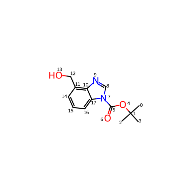 CC(C)(C)OC(=O)n1cnc2c(CO)cccc21